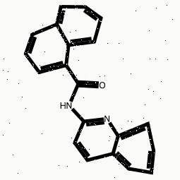 O=C(Nc1ccc2ccccc2n1)c1cccc2ccccc12